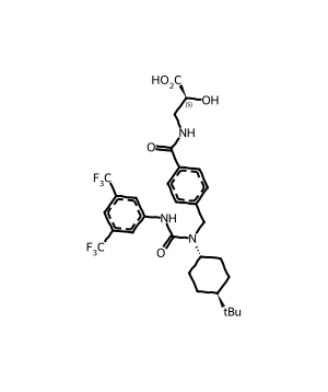 CC(C)(C)[C@H]1CC[C@H](N(Cc2ccc(C(=O)NC[C@H](O)C(=O)O)cc2)C(=O)Nc2cc(C(F)(F)F)cc(C(F)(F)F)c2)CC1